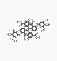 O=C(O)c1cc(O)c2c(c1)[C@H]([C@H]1c3cc(C(=O)O)cc(O)c3C(=O)c3c(O[C@H]4C[C@@H](O)[C@H](O)[C@@H](CO)O4)cccc31)c1cccc(OC3C[C@@H](O)[C@H](O)[C@@H](CO)O3)c1C2=O